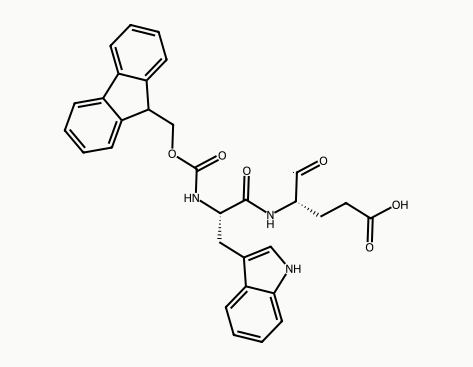 O=[C][C@H](CCC(=O)O)NC(=O)[C@H](Cc1c[nH]c2ccccc12)NC(=O)OCC1c2ccccc2-c2ccccc21